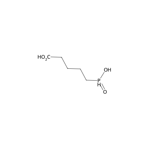 O=C(O)CCCC[PH](=O)O